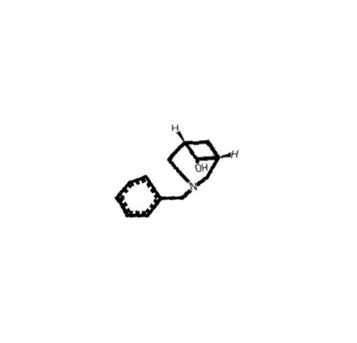 OC1[C@@H]2C[C@H]1CN(Cc1ccccc1)C2